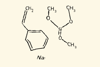 C=Cc1ccccc1.CO[SiH](OC)OC.[Na]